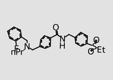 CCCN(Cc1ccc(C(=O)NCc2ccc(S(=O)(=O)CC)cc2)cc1)Cc1ccccc1F